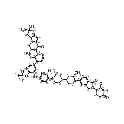 [2H]C([2H])([2H])Oc1ncc(-c2ccnc(N3CCn4c(cc5c4CC(C)(C)C5)C3=O)c2CO)cc1Nc1ccc(N2CCN(C3CCN(c4ccc5c(c4)CN(C4CCC(=O)NC4=O)C5=O)[C@H](C)C3)C[C@@H]2C)cn1